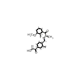 COc1cccc(C(=O)N(C)/N=C/c2ccc(C(=O)NO)cc2F)c1F